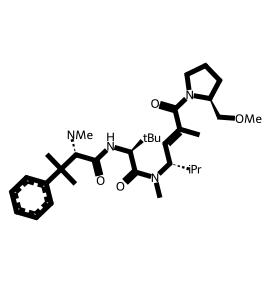 CN[C@H](C(=O)N[C@H](C(=O)N(C)[C@H](/C=C(\C)C(=O)N1CCC[C@H]1COC)C(C)C)C(C)(C)C)C(C)(C)c1ccccc1